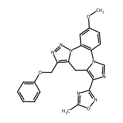 COc1ccc2c(c1)-n1nnc(COc3ccccc3)c1Cc1c(-c3noc(C)n3)ncn1-2